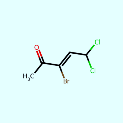 CC(=O)C(Br)=CC(Cl)Cl